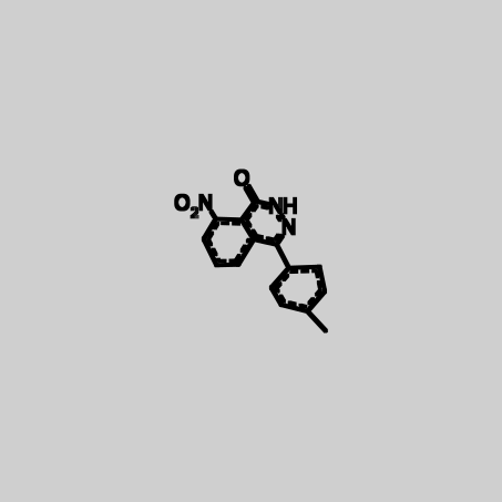 Cc1ccc(-c2n[nH]c(=O)c3c([N+](=O)[O-])cccc23)cc1